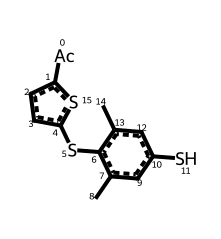 CC(=O)c1ccc(Sc2c(C)cc(S)cc2C)s1